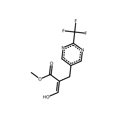 COC(=O)C(=CO)Cc1cnc(C(F)(F)F)nc1